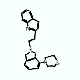 c1cc2c(c(N3CCSCC3)c1)CN(CCc1ccc3ccccc3n1)C2